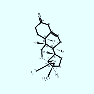 C[C@H]1[C@H]2CC[C@H]3[C@@H]4CC=C5CC(=O)CC[C@]5(C)[C@H]4CC[C@]23CN1C